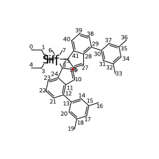 CC[Si](CC)=[Hf]([CH3])([CH3])([CH]1C=Cc2c(-c3cc(C)cc(C)c3)cccc21)[CH]1C=Cc2c(-c3cc(C)cc(C)c3)cccc21